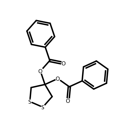 O=C(OC1(OC(=O)c2ccccc2)CSSC1)c1ccccc1